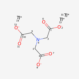 O=C([O-])CN(CC(=O)[O-])CC(=O)[O-].[Tl+].[Tl+].[Tl+]